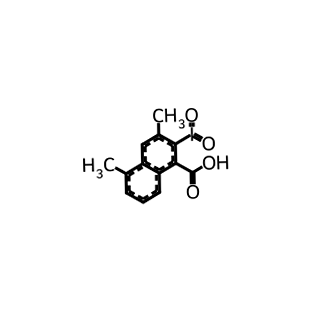 Cc1cc2c(C)cccc2c(C(=O)O)c1I(=O)=O